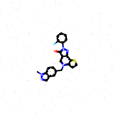 Cn1ncc2cc(Cn3cc4c(=O)n(-c5ccccc5F)nc-4c4sccc43)ccc21